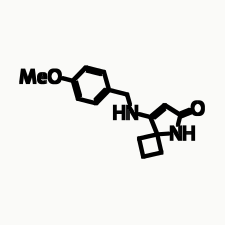 COc1ccc(CNC2=CC(=O)NC23CCC3)cc1